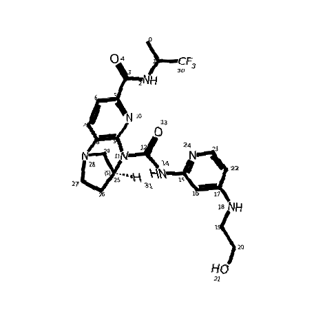 CC(NC(=O)c1ccc2c(n1)N(C(=O)Nc1cc(NCCO)ccn1)[C@H]1CCN2C1)C(F)(F)F